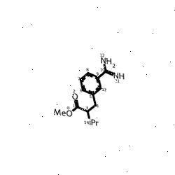 COC(=O)C(Cc1cccc(C(=N)N)c1)C(C)C